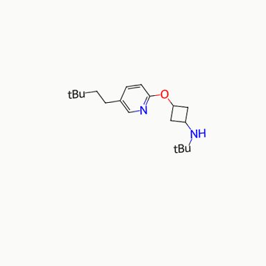 CC(C)(C)CCc1ccc(OC2CC(NC(C)(C)C)C2)nc1